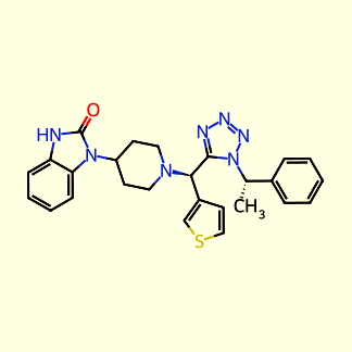 C[C@@H](c1ccccc1)n1nnnc1[C@@H](c1ccsc1)N1CCC(n2c(=O)[nH]c3ccccc32)CC1